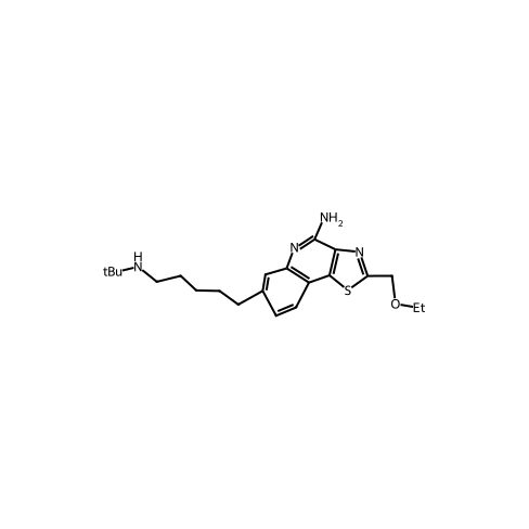 CCOCc1nc2c(N)nc3cc(CCCCCNC(C)(C)C)ccc3c2s1